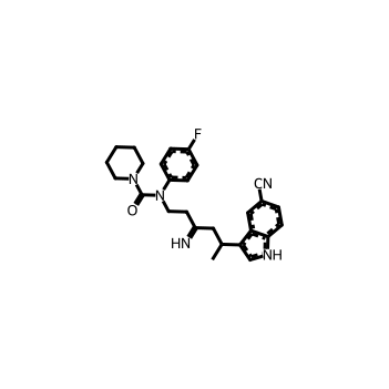 CC(CC(=N)CCN(C(=O)N1CCCCC1)c1ccc(F)cc1)c1c[nH]c2ccc(C#N)cc12